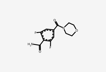 NC(=O)c1c(F)cc(C(=O)N2CCOCC2)cc1F